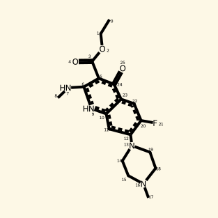 CCOC(=O)c1c(NC)[nH]c2cc(N3CCN(C)CC3)c(F)cc2c1=O